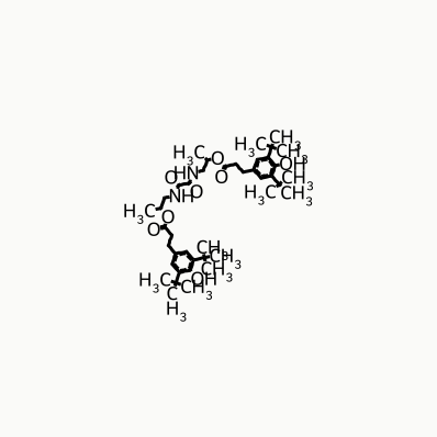 CC(CNC(=O)C(=O)NCC(C)OC(=O)CCc1cc(C(C)(C)C)c(O)c(C(C)(C)C)c1)OC(=O)CCc1cc(C(C)(C)C)c(O)c(C(C)(C)C)c1